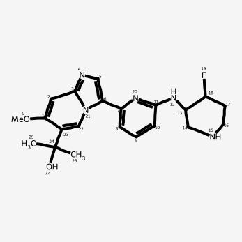 COc1cc2ncc(-c3cccc(NC4CNCCC4F)n3)n2cc1C(C)(C)O